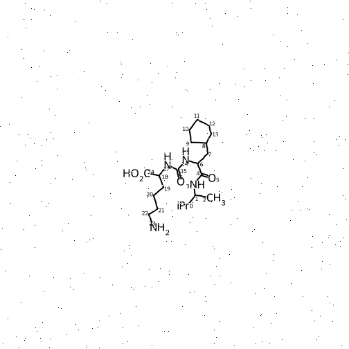 CC(C)C(C)NC(=O)C(CC1CCCCC1)NC(=O)NC(CCCCN)C(=O)O